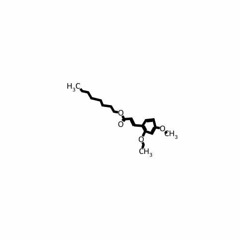 CCCCCCCCOC(=O)C=Cc1ccc(OC)cc1OCC